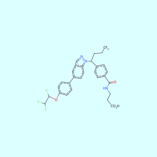 O=C(O)CCNC(=O)c1ccc(C(CCC(F)(F)F)n2ncc3cc(-c4ccc(OC(F)C(F)F)cc4)ccc32)cc1